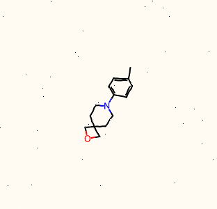 Cc1ccc(N2CCC3(CC2)COC3)cc1